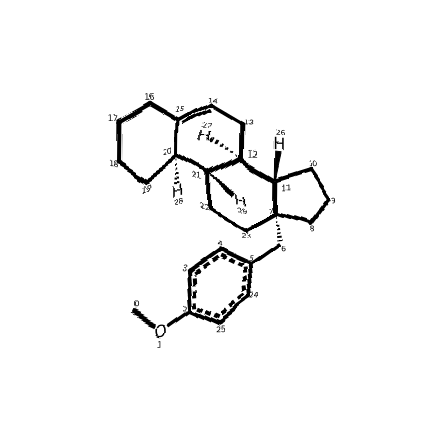 COc1ccc(C[C@@]23CCC[C@H]2[C@@H]2CC=C4CCCC[C@@H]4[C@H]2CC3)cc1